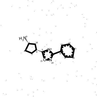 N[C@H]1CC[C@@H](c2nc(-c3ccccc3)no2)C1